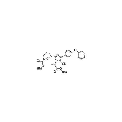 CN(C(=O)OC(C)(C)C)c1c(C#N)c(-c2ccc(Oc3ccccc3)cc2)nn1C1CCCN(C(=O)OC(C)(C)C)C1